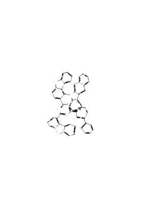 c1ccc(-c2cccc(-c3nc(-c4ccc5oc6ccccc6c5c4-n4c5ccccc5c5cc6ccccc6cc54)nc(-c4cccc5oc6ccccc6c45)n3)c2)cc1